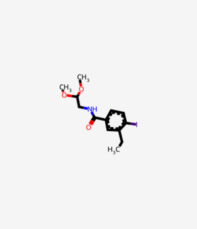 CCc1cc(C(=O)NCC(OC)OC)ccc1I